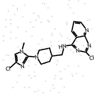 Cn1cc(Cl)nc1N1CCC(CNc2nc(Cl)nc3ncccc23)CC1